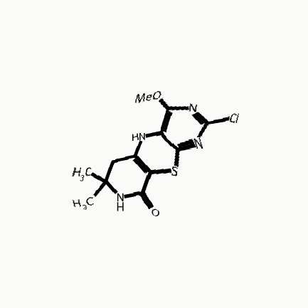 COc1nc(Cl)nc2c1NC1=C(S2)C(=O)NC(C)(C)C1